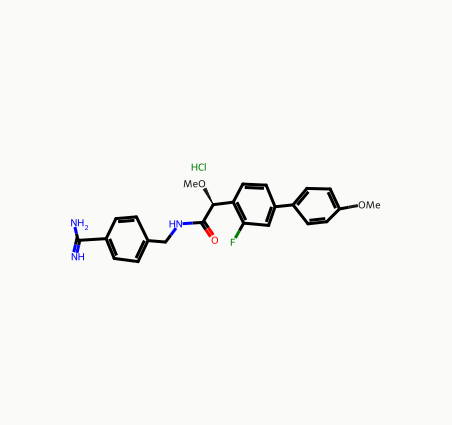 COc1ccc(-c2ccc([C@H](OC)C(=O)NCc3ccc(C(=N)N)cc3)c(F)c2)cc1.Cl